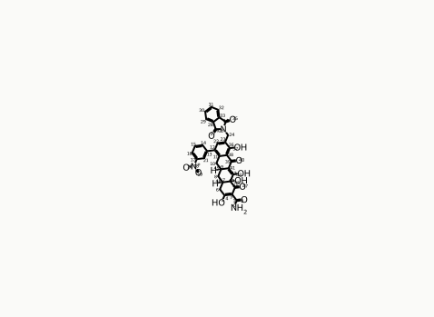 NC(=O)C1=C(O)C[C@@H]2C[C@@H]3Cc4c(-c5cccc([N+](=O)[O-])c5)cc(CN5C(=O)c6ccccc6C5=O)c(O)c4C(=O)C3=C(O)[C@]2(O)C1=O